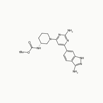 CC(C)(C)OC(=O)N[C@@H]1CCCN(c2cc(-c3ccc4c(N)n[nH]c4c3)nc(N)n2)C1